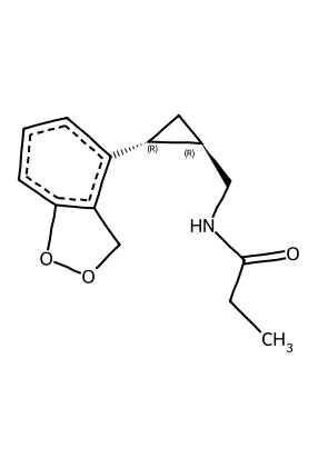 CCC(=O)NC[C@@H]1C[C@H]1c1cccc2c1COO2